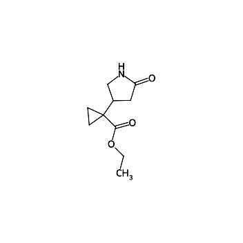 CCOC(=O)C1(C2CNC(=O)C2)CC1